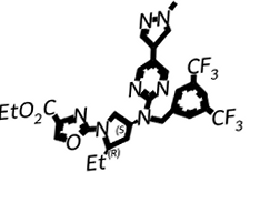 CCOC(=O)c1coc(N2C[C@@H](N(Cc3cc(C(F)(F)F)cc(C(F)(F)F)c3)c3ncc(C4C=NN(C)C4)cn3)C[C@H]2CC)n1